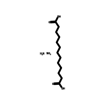 N.N.O=C(O)CCCCCCCCCCCC(=O)O